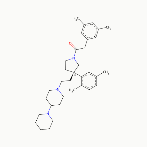 Cc1ccc(C)c([C@]2(CCN3CCC(N4CCCCC4)CC3)CCN(C(=O)Cc3cc(C(F)(F)F)cc(C(F)(F)F)c3)C2)c1